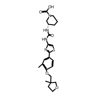 Cc1cc(-c2nc(NC(=O)N[C@H]3CCCN(C(=O)O)C3)cs2)ccc1OCC1(C)CCOC1